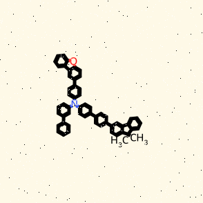 CC1(C)c2ccccc2-c2cc(-c3ccc(-c4ccc(N(c5ccc(-c6ccc7oc8ccccc8c7c6)cc5)c5cccc(-c6ccccc6)c5)cc4)cc3)ccc21